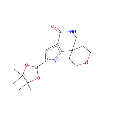 CC1(C)OB(c2cc3c([nH]2)C2(CCOCC2)CNC3=O)OC1(C)C